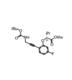 COC(=O)[C@H](Oc1cc(F)ccc1C#CCNC(=O)OC(C)(C)C)C(C)C